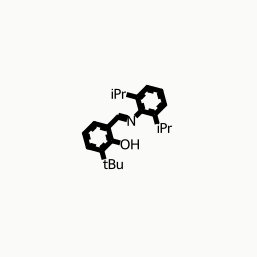 CC(C)c1cccc(C(C)C)c1/N=C/c1cccc(C(C)(C)C)c1O